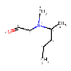 CCCC(C)N(C)CC=O